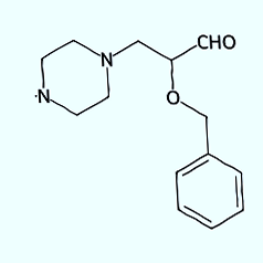 O=CC(CN1CC[N]CC1)OCc1ccccc1